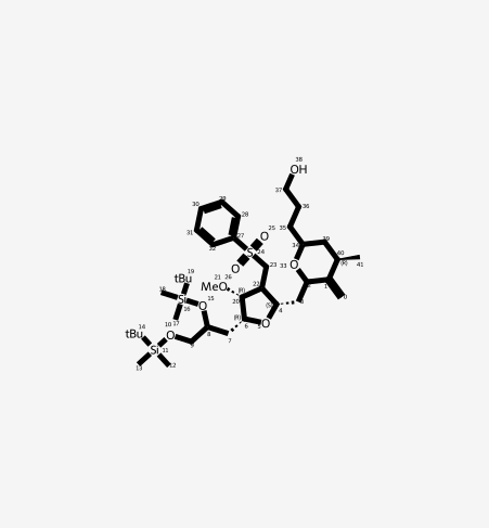 C=C1C(C[C@@H]2O[C@H](CC(CO[Si](C)(C)C(C)(C)C)O[Si](C)(C)C(C)(C)C)[C@H](OC)C2CS(=O)(=O)c2ccccc2)OC(CCCO)C[C@H]1C